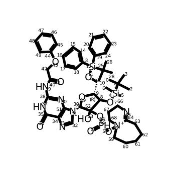 CC(C)(C)[Si](C)(C)OC1[C@@H](CO[Si](c2ccccc2)(c2ccccc2)C(C)(C)C)O[C@@H](n2cnc3c(=O)[nH]c(NC(=O)COc4ccccc4)nc32)C1(O)O[PH](=O)O[N+]12CCCCCC1=NCCC2